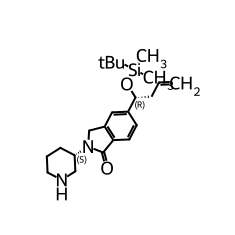 C=CC[C@@H](O[Si](C)(C)C(C)(C)C)c1ccc2c(c1)CN([C@H]1CCCNC1)C2=O